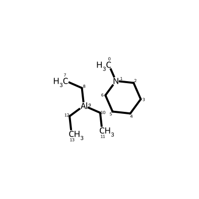 CN1CCCCC1.C[CH2][Al]([CH2]C)[CH2]C